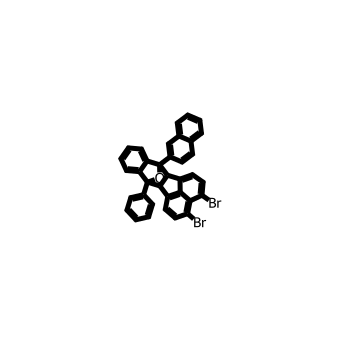 Brc1ccc2c3c(ccc(Br)c13)C1C2C2(c3ccccc3)OC1(c1ccc3ccccc3c1)c1ccccc12